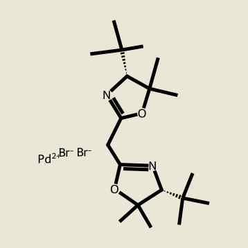 CC(C)(C)[C@H]1N=C(CC2=N[C@H](C(C)(C)C)C(C)(C)O2)OC1(C)C.[Br-].[Br-].[Pd+2]